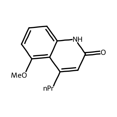 CCCc1cc(=O)[nH]c2cccc(OC)c12